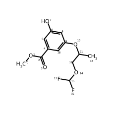 COC(=O)c1cc(O)cc(OC(C)COC(F)F)c1